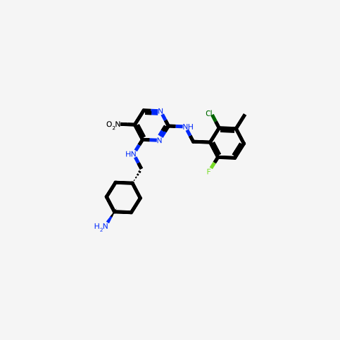 Cc1ccc(F)c(CNc2ncc([N+](=O)[O-])c(NC[C@H]3CC[C@H](N)CC3)n2)c1Cl